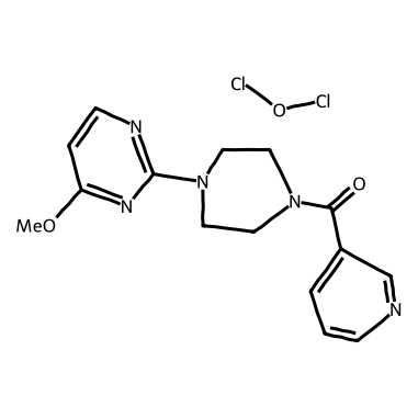 COc1ccnc(N2CCN(C(=O)c3cccnc3)CC2)n1.ClOCl